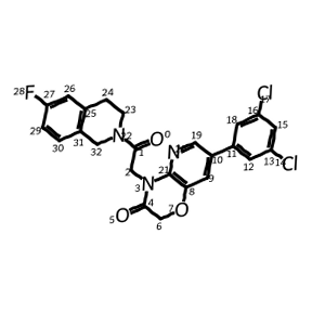 O=C(CN1C(=O)COc2cc(-c3cc(Cl)cc(Cl)c3)cnc21)N1CCc2cc(F)ccc2C1